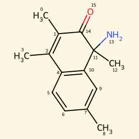 CC1=C(C)c2ccc(C)cc2C(C)(N)C1=O